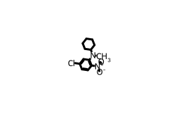 CN(c1cc(Cl)ccc1[N+](=O)[O-])C1CCCCC1